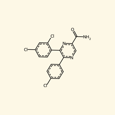 NC(=O)c1cnc(-c2ccc(Cl)cc2)c(-c2ccc(Cl)cc2Cl)n1